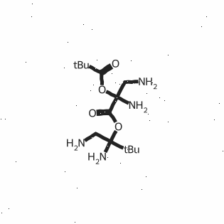 CC(C)(C)C(=O)OC(N)(CN)C(=O)OC(N)(CN)C(C)(C)C